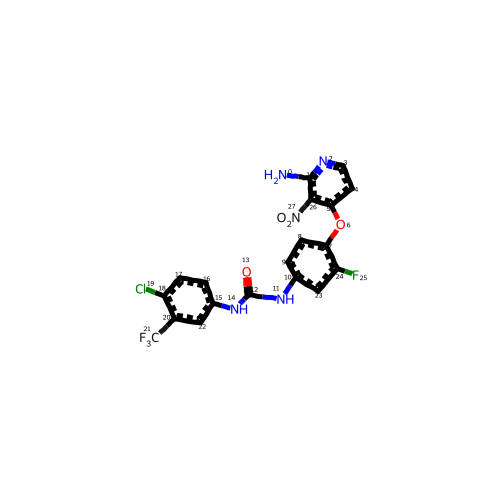 Nc1nccc(Oc2ccc(NC(=O)Nc3ccc(Cl)c(C(F)(F)F)c3)cc2F)c1[N+](=O)[O-]